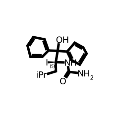 CC(C)C[C@@](I)(NC(N)=O)C(O)(c1ccccc1)c1ccccc1